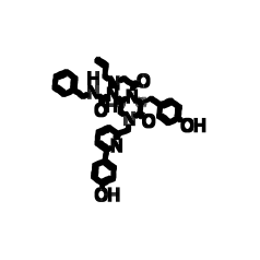 C=CCN1CC(=O)N2[C@@H](Cc3ccc(O)cc3)C(=O)N(Cc3cccc(-c4ccc(O)cc4)n3)C[C@@H]2N1C(=O)NCc1ccccc1